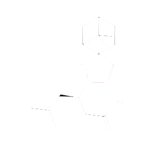 CC(C)C[C@H](CC(=O)O)B1OCC2(CCC3CC2C3(C)C)O1